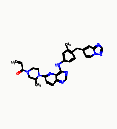 C=CC(=O)N1CCN(c2ccc3ncnc(Nc4ccc(Cc5ccn6ncnc6c5)c(C)c4)c3n2)[C@@H](C)C1